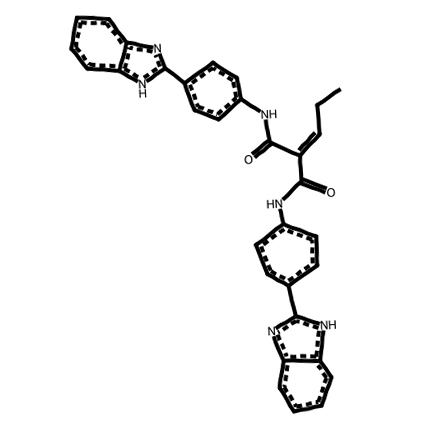 CCC=C(C(=O)Nc1ccc(-c2nc3ccccc3[nH]2)cc1)C(=O)Nc1ccc(-c2nc3ccccc3[nH]2)cc1